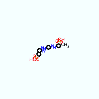 Cc1ccc(N=Nc2ccc(-n3nc4ccc5cc(S(=O)(=O)O)ccc5c4n3)cc2)cc1S(=O)(=O)O